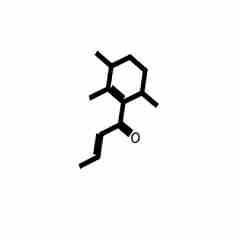 CC=CC(=O)C1=C(C)C(C)CCC1C